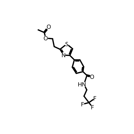 CC(=O)OCCc1nc(-c2ccc(C(=O)NCCC(F)(F)F)cc2)cs1